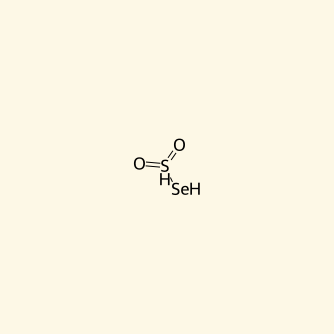 O=[SH](=O)[SeH]